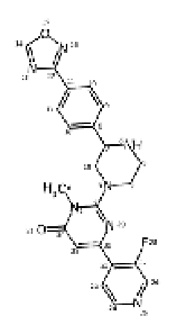 Cn1c(N2CCNC(c3ccc(-c4ncon4)cc3)C2)nc(-c2ccncc2F)cc1=O